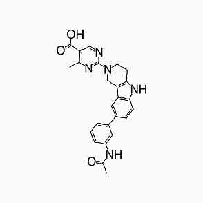 CC(=O)Nc1cccc(-c2ccc3[nH]c4c(c3c2)CN(c2ncc(C(=O)O)c(C)n2)CC4)c1